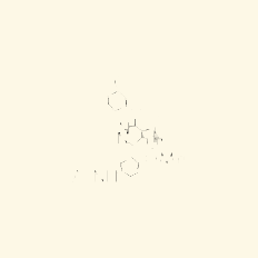 COc1ccc(NC(C)=O)cc1-c1nn(C(C)c2ccc(Cl)cc2)c(=O)c2c(C3CC3)noc12